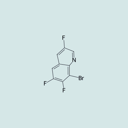 Fc1cnc2c(Br)c(F)c(F)cc2c1